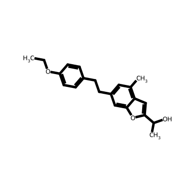 CCOc1ccc(CCc2cc(C)c3cc(C(C)O)oc3c2)cc1